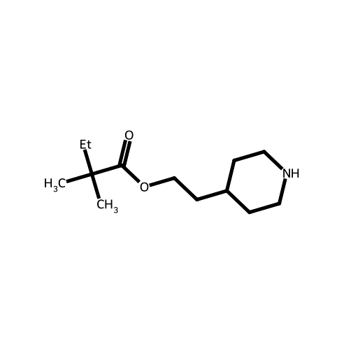 CCC(C)(C)C(=O)OCCC1CCNCC1